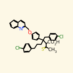 CC(=S)C(C(=O)O)C(CCCc1ccc(Cl)cc1)(Cc1ccc(Cl)cc1)c1ccc(OCc2ccc3ccccc3n2)cc1